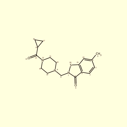 Cc1ccc2c(=O)n(CN3CCN(C(=O)C4CC4)CC3)sc2c1